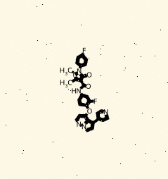 Cc1c(C(=O)Nc2ccc(Oc3ccnn4ccc(-c5ccncc5)c34)c(F)c2)c(=O)n(-c2ccc(F)cc2)n1C